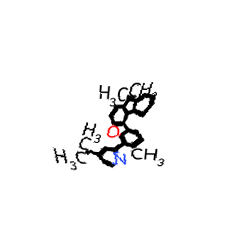 Cc1ccc2c(oc3ccc4c(c32)-c2ccccc2C4(C)C)c1-c1cc(C(C)C)ccn1